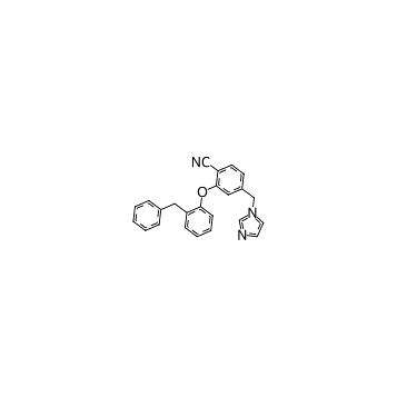 N#Cc1ccc(Cn2ccnc2)cc1Oc1ccccc1Cc1ccccc1